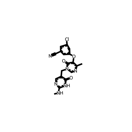 CNc1ncc(Cn2cnc(C)c(Oc3cc(Cl)cc(C#N)c3)c2=O)c(=O)[nH]1